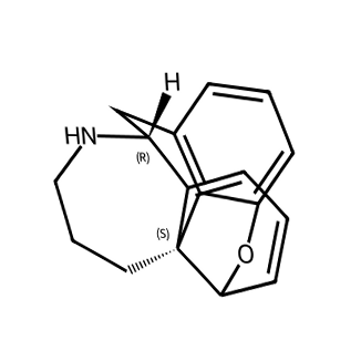 C1=CC2Oc3cccc4c3[C@@]23CCCN[C@H](C4)C3=C1